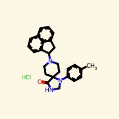 Cc1ccc(N2CNC(=O)C23CCN(C2Cc4cccc5cccc2c45)CC3)cc1.Cl